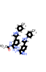 Nc1c[nH]c2ccc(-c3cnn(-c4ccc(C(F)(F)F)cc4)c3)cc12.O=C(O)C(=O)Nc1c[nH]c2ccc(-c3cnn(-c4ccc(C(F)(F)F)cc4)c3)cc12